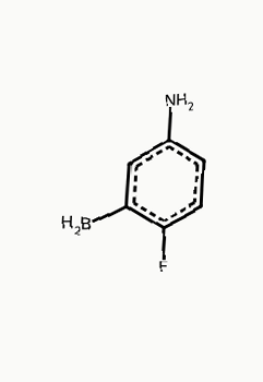 Bc1cc(N)ccc1F